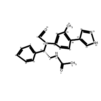 CC(=O)NC[C@H](c1ccccc1)N(C=O)c1ccc(-c2cn[nH]c2)c(C)c1